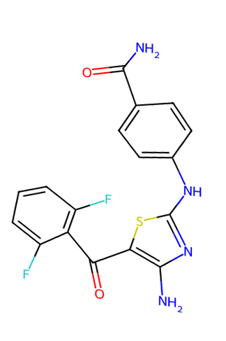 NC(=O)c1ccc(Nc2nc(N)c(C(=O)c3c(F)cccc3F)s2)cc1